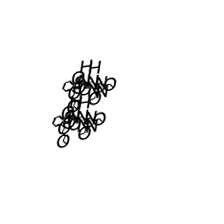 COCCOc1ccccc1S(=O)(=O)NC(=O)Nc1nc(OC)nc(OC)n1.COCCOc1ccccc1S(=O)(=O)NC(=O)Nc1nc(OC)nc(OC)n1